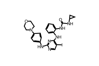 O=C(Nc1ccccc1Nc1nc(Nc2ccc(N3CCOCC3)cc2)ncc1I)NC1CC1